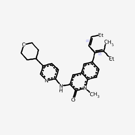 CC/C=C\C(=C(/C)CC)c1ccc2c(c1)cc(Nc1ccc(C3CCOCC3)cn1)c(=O)n2C